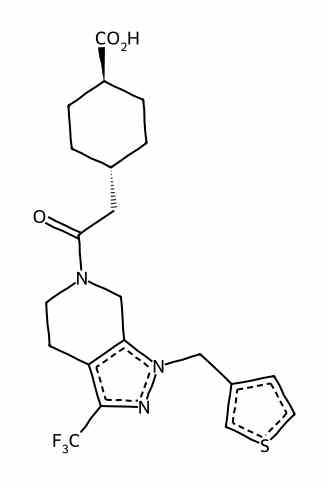 O=C(C[C@H]1CC[C@H](C(=O)O)CC1)N1CCc2c(C(F)(F)F)nn(Cc3ccsc3)c2C1